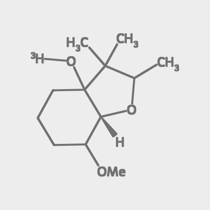 [3H]OC12CCCC(OC)[C@H]1OC(C)C2(C)C